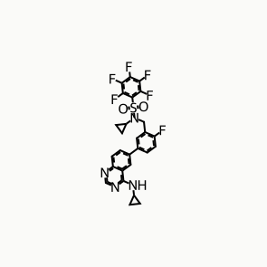 O=S(=O)(c1c(F)c(F)c(F)c(F)c1F)N(Cc1cc(-c2ccc3ncnc(NC4CC4)c3c2)ccc1F)C1CC1